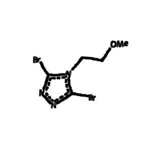 COCCn1c(Br)nnc1Br